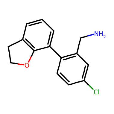 NCc1cc(Cl)ccc1-c1cccc2c1O[CH]C2